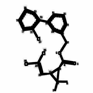 CC1(C)[C@H](C(=O)OCc2cccc(-c3ccccc3Cl)c2)[C@@H]1C=C(Cl)Cl